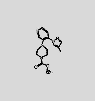 Cc1cnn(-c2ccncc2N2CCN(C(=O)OC(C)(C)C)CC2)c1